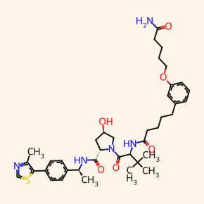 Cc1ncsc1-c1ccc([C@H](C)NC(=O)[C@@H]2C[C@@H](O)CN2C(=O)[C@@H](NC(=O)CCCCc2cccc(OCCCCC(N)=O)c2)C(C)(C)C)cc1